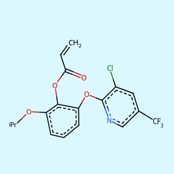 C=CC(=O)Oc1c(Oc2ncc(C(F)(F)F)cc2Cl)cccc1OC(C)C